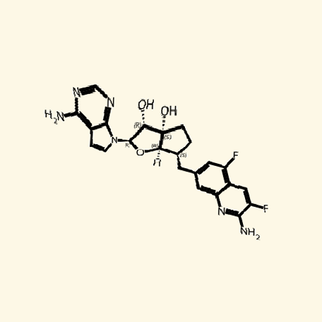 Nc1nc2cc(C[C@@H]3CC[C@@]4(O)[C@@H]3O[C@@H](n3ccc5c(N)ncnc53)[C@@H]4O)cc(F)c2cc1F